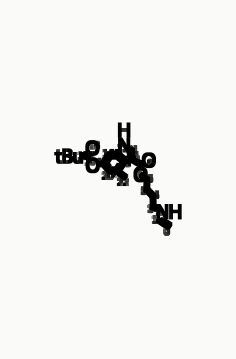 C=CNCCCCOC(=O)c1c[nH]c2cc(OC(=O)C(C)(C)C)cc(C)c12